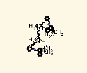 CN(C)c1ccc(/C=C/c2cccc[n+]2CCCC[N+](C)(C)CCSSCC[N+](C)(C)CCCC[n+]2ccccc2/C=C/c2ccc(N(C)C)c3ccccc23)c2ccccc12